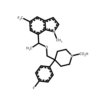 CC(OCC1(c2ccc(F)cc2)CCN(C(=O)O)CC1)c1cc(C(F)(F)F)cc2ccn(C)c12